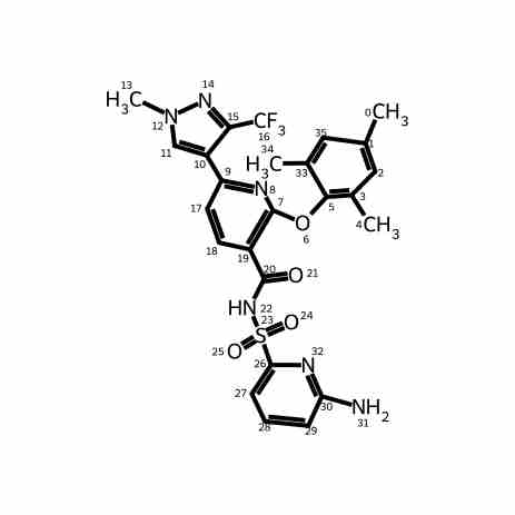 Cc1cc(C)c(Oc2nc(-c3cn(C)nc3C(F)(F)F)ccc2C(=O)NS(=O)(=O)c2cccc(N)n2)c(C)c1